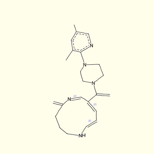 C=C1CCCN/C=C/C=C(C(=C)N2CCN(c3ncc(C)cc3C)CC2)\C=N/1